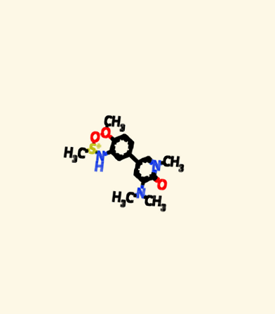 COc1ccc(-c2cc(N(C)C)c(=O)n(C)c2)cc1N[S+](C)[O-]